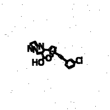 O=C(O)c1cn2nccc2nc1-c1ccc(C#Cc2cccc(Cl)c2)s1